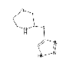 c1[nH]nnc1SC1COCCN1